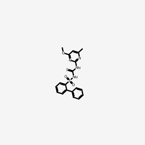 COc1cc(C)nc(NC(=S)NS(=O)(=O)c2ccccc2-c2ccccc2)n1